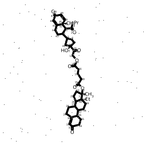 CCCC(=O)C1C(C2CC[C@](O)(C(=O)COC(=O)CCCC(=O)O[C@@]3(C)CCC4C5CCC6=CC(=O)CCC6C5CC[C@@]43CC)C2)CCC2=CC(=O)C=C[C@@]21C